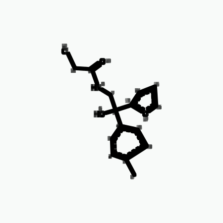 Cc1ccc(C(O)(CNC(=O)CCl)c2ccco2)cc1